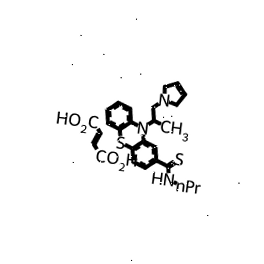 CCCNC(=S)c1ccc2c(c1)N(C(C)CN1CC=CC1)c1ccccc1S2.O=C(O)C=CC(=O)O